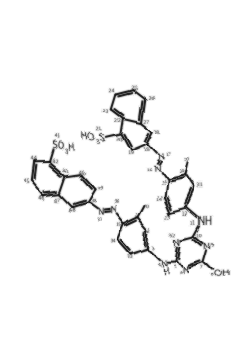 Cc1cc(Nc2nc(O)nc(Nc3ccc(/N=N/c4cc(S(=O)(=O)O)c5ccccc5c4)c(C)c3)n2)ccc1/N=N/c1ccc2c(S(=O)(=O)O)cccc2c1